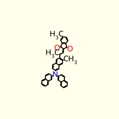 Cc1ccc2c(c1)C(=O)C(=CC(C)c1cc3ccc(N(c4ccc5ccccc5c4)c4ccc5ccccc5c4)cc3cc1C)C2=O